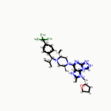 CC[C@@H]1CN(c2nc3nncn3c3c2nc(C)n3C[C@@H]2CCCO2)[C@@H](C)CN1[C@H](c1ccc(C(F)(F)F)cc1)C(C)C